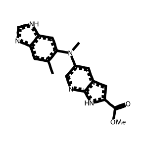 COC(=O)c1cc2cc(N(C)c3cc4[nH]cnc4cc3C)cnc2[nH]1